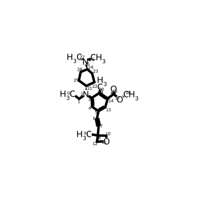 CCN(c1cc(C#CC2(C)COC2)cc(C(=O)OC)c1C)[C@H]1CC[C@H](N(C)C)CC1